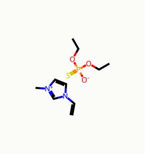 C=Cn1cc[n+](C)c1.CCOP([O-])(=S)OCC